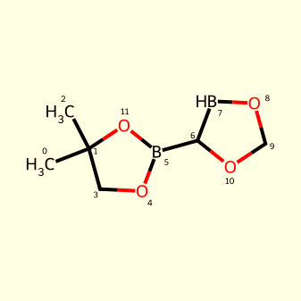 CC1(C)COB(C2BOCO2)O1